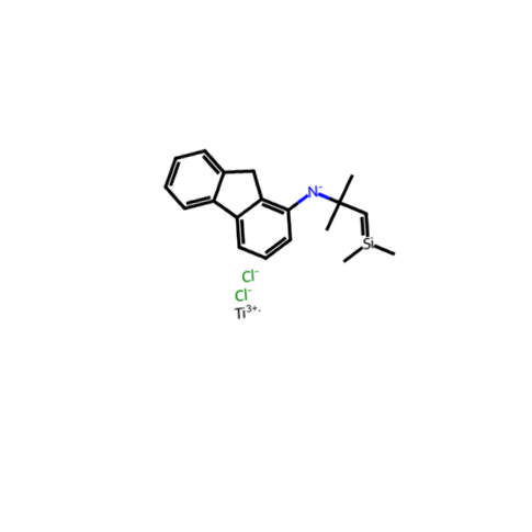 C[Si](C)=CC(C)(C)[N-]c1cccc2c1Cc1ccccc1-2.[Cl-].[Cl-].[Ti+3]